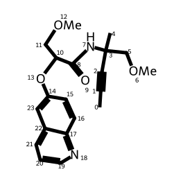 CC#CC(C)(COC)NC(=O)C(COC)Oc1ccc2ncccc2c1